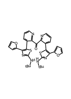 CC(C)(C)Nc1nc(-c2ccco2)c(-c2cccnc2C(=O)c2ncccc2-c2sc(NC(C)(C)C)nc2-c2ccco2)s1